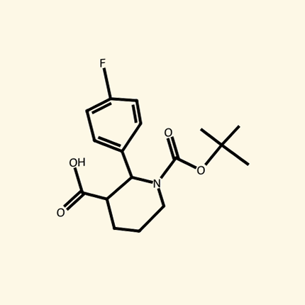 CC(C)(C)OC(=O)N1CCCC(C(=O)O)C1c1ccc(F)cc1